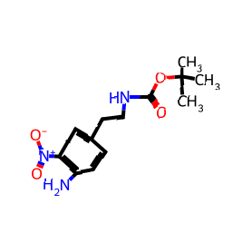 CC(C)(C)OC(=O)NCCc1ccc(N)c([N+](=O)[O-])c1